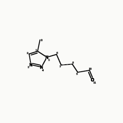 Cc1cnnn1CCCCC=O